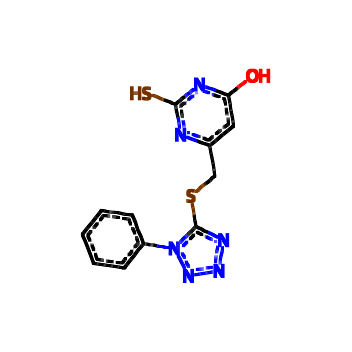 Oc1cc(CSc2nnnn2-c2ccccc2)nc(S)n1